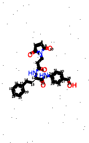 O=C(CCN1C(=O)C=CC1=O)N[C@@H](CCc1ccccc1)C(=O)Nc1ccc(CO)cc1